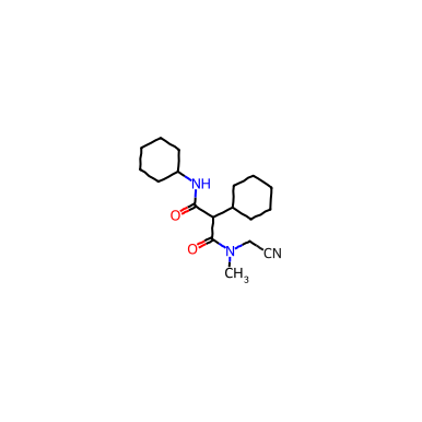 CN(CC#N)C(=O)C(C(=O)NC1CCCCC1)C1CCCCC1